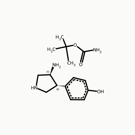 CC(C)(C)OC(N)=O.N[C@@H]1CNC[C@H]1c1ccc(O)cc1